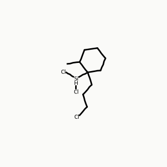 CC1CCCCC1(CCCCl)[SiH](Cl)Cl